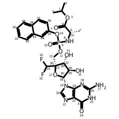 CC(C)OC(=O)[C@H](C)NP(=O)(OC[C@@]1(C(F)F)O[C@@H](n2cnc3c(=O)[nH]c(N)nc32)[C@H](O)[C@H]1O)Oc1ccc2ccccc2c1